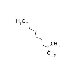 CCC[CH]CCCC(C)C